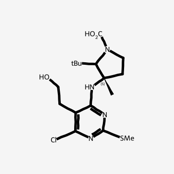 CSc1nc(Cl)c(CCO)c(N[C@@]2(C)CCN(C(=O)O)C2C(C)(C)C)n1